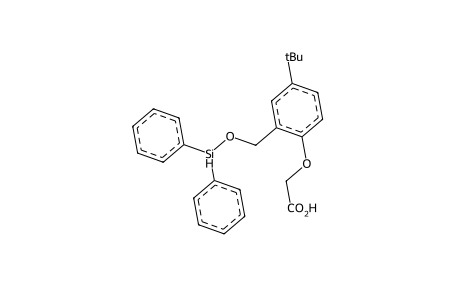 CC(C)(C)c1ccc(OCC(=O)O)c(CO[SiH](c2ccccc2)c2ccccc2)c1